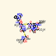 CC(=O)N[C@@H](CC(C)C)C(=O)NCC(=O)N[C@@H](CCC(=O)O)C(=O)N[C@@H](CC(C)C)C(=O)NC(C(=O)N[C@@H](Cc1c[nH]c2ccccc12)C(=O)NCCSSC[C@H](NC(=O)[C@H](CC(=O)O)NC(=O)[C@@H](N)CSSC[C@H](NC(=O)C(NC=O)[C@@H](C)O)C(=O)C(C)(C)C)C(=O)N[C@@H](C)C(=O)N[C@@H](Cc1c[nH]c2ccccc12)C(=O)NCc1c[nH]cn1)C(C)C